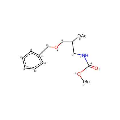 CC(=O)OC(CNC(=O)OC(C)(C)C)COCc1ccccc1